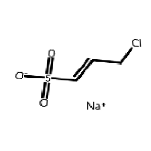 O=S(=O)([O-])C=CCCl.[Na+]